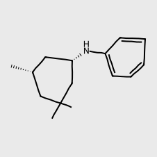 C[C@@H]1C[C@H](Nc2ccccc2)CC(C)(C)C1